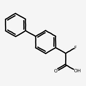 O=C(O)C(F)c1ccc(-c2ccccc2)cc1